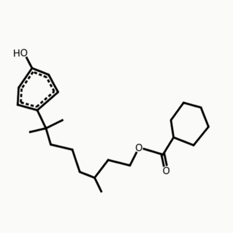 CC(CCCC(C)(C)c1ccc(O)cc1)CCOC(=O)C1CCCCC1